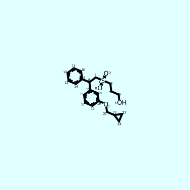 O=S(=O)(CCCO)CC(c1ccccc1)c1cccc(OCC2CC2)c1